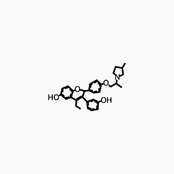 CCC1=C(c2cccc(O)c2)C(c2ccc(OCC(C)N3CCC(C)C3)cc2)Oc2ccc(O)cc21